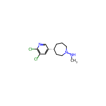 CNN1CCC[C@@H](c2cnc(Cl)c(Cl)c2)CC1